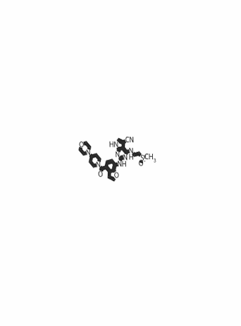 C[S+]([O-])CCNc1nc(Nc2ccc(C(=O)N3CCC(N4CCOCC4)CC3)c3c2OCC3)nc2[nH]cc(C#N)c12